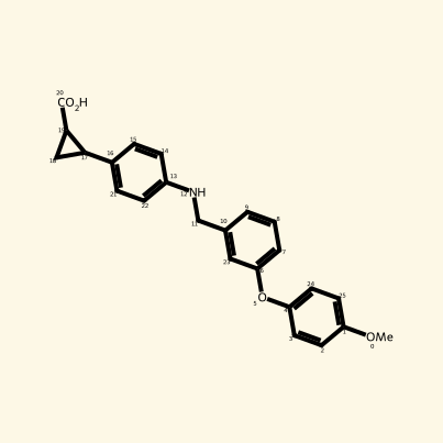 COc1ccc(Oc2cccc(CNc3ccc(C4CC4C(=O)O)cc3)c2)cc1